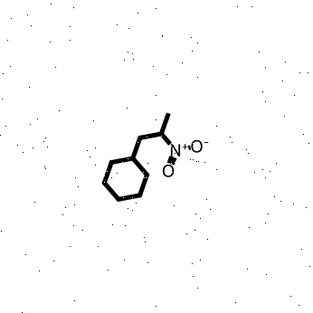 CC(CC1CCCCC1)[N+](=O)[O-]